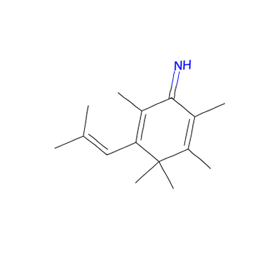 CC(C)=CC1=C(C)C(=N)C(C)=C(C)C1(C)C